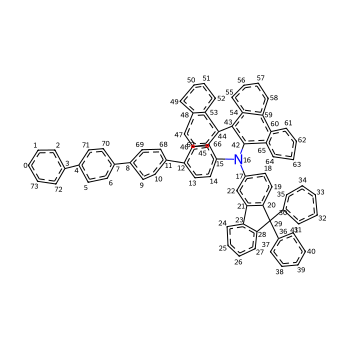 c1ccc(-c2ccc(-c3ccc(-c4ccc(N(c5ccc6c(c5)-c5ccccc5C6(c5ccccc5)c5ccccc5)c5c(-c6cccc7ccccc67)c6ccccc6c6ccccc56)cc4)cc3)cc2)cc1